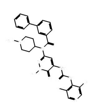 CCn1nc(N(C(=O)c2cccc(-c3ccccc3)c2)C2CCN(C)CC2)cc(NC(=O)Nc2c(Cl)cncc2Cl)c1=O